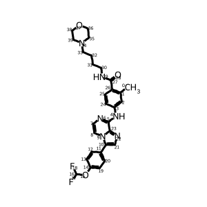 Cc1cc(Nc2nccn3c(-c4ccc(OC(F)F)cc4)cnc23)ccc1C(=O)NCCCCN1CCOCC1